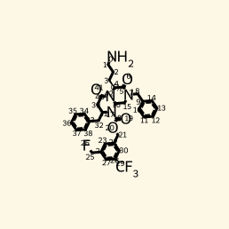 NCCC[C@H]1C(=O)N(Cc2ccccc2)CC2N(C(=O)OCc3cc(CF)cc(C(F)(F)F)c3)C(Cc3ccccc3)CC(=O)N21